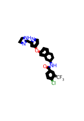 O=C(NC1CCc2ccc(Oc3ccnc(C4=NCCN4)c3)cc2C1)c1ccc(Cl)c(C(F)(F)F)c1